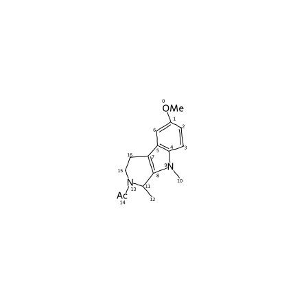 COc1ccc2c(c1)c1c(n2C)C(C)N(C(C)=O)CC1